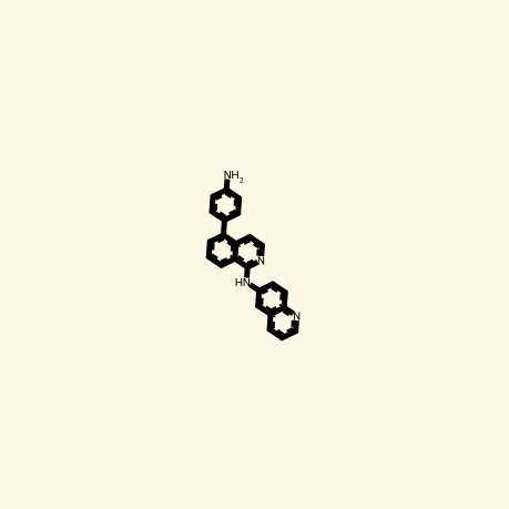 Nc1ccc(-c2cccc3c(Nc4ccc5ncccc5c4)nccc23)cc1